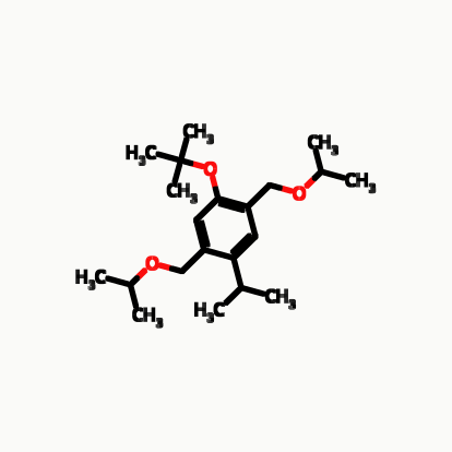 CC(C)OCc1cc(C(C)C)c(COC(C)C)cc1OC(C)(C)C